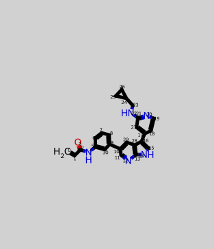 C=CC(=O)Nc1cccc(-c2cnc3[nH]cc(-c4ccnc(NCC5CC5)c4)c3c2)c1